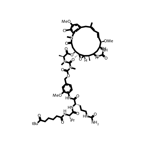 COc1cc(COC(=O)N(C)C(=O)N(C)[C@@H](C)C(=O)O[C@H]2CC(=O)N(C)c3cc(cc(OC)c3Cl)C/C(C)=C/C=C/[C@@H](OC)[C@@]3(O)C[C@H](OC(=O)N3)[C@@H](C)[C@@H]3O[C@@]23C)ccc1NC(=O)[C@H](CCCNC(N)=O)NC(=O)[C@@H](NC(=O)CCCCC(=O)C(C)(C)C)C(C)C